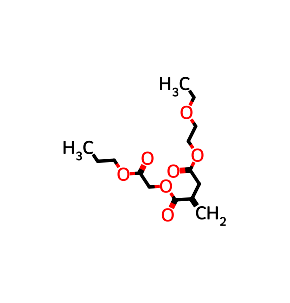 C=C(CC(=O)OCCOCC)C(=O)OCC(=O)OCCC